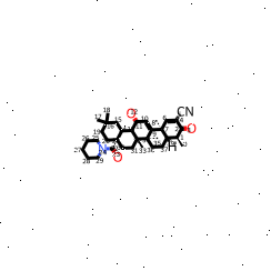 C[C@@H]1C(=O)C(C#N)=C[C@]2(C)C3=CC(=O)C4C5CC(C)(C)CC[C@]5(C(=O)N5CCCCC5)CC[C@@]4(C)[C@]3(C)CC[C@@H]12